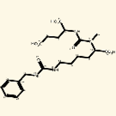 CN(C(=O)NC(CCC(=O)O)C(=O)O)C(CCCCNC(=O)NCc1ccccc1)C(=O)O